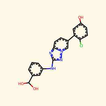 Oc1ccc(Cl)c(-c2ccc3nc(Nc4cccc(C(O)O)c4)nn3c2)c1